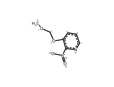 COCOc1cccnc1[N+](=O)[O-]